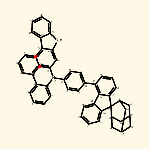 c1ccc(-c2ccccc2N(c2ccc(-c3cccc4c3-c3ccccc3C43C4CC5CC(C4)CC3C5)cc2)c2ccc3c(c2)sc2ccccc23)cc1